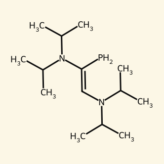 CC(C)N(C=C(P)N(C(C)C)C(C)C)C(C)C